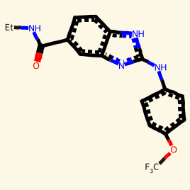 CCNC(=O)c1ccc2[nH]c(Nc3ccc(OC(F)(F)F)cc3)nc2c1